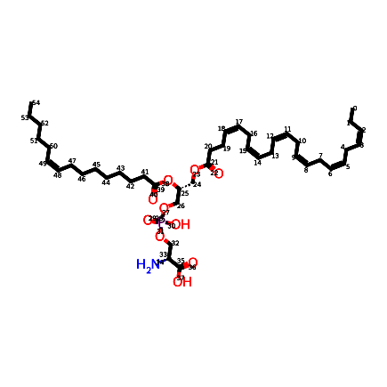 CC/C=C\C/C=C\C/C=C\C/C=C\C/C=C\C/C=C\CCC(=O)OC[C@H](COP(=O)(O)OC[C@H](N)C(=O)O)OC(=O)CCCCCCC/C=C\CCCCC